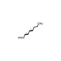 CCCCCC/C=C/C=C/CCOC(C)=O